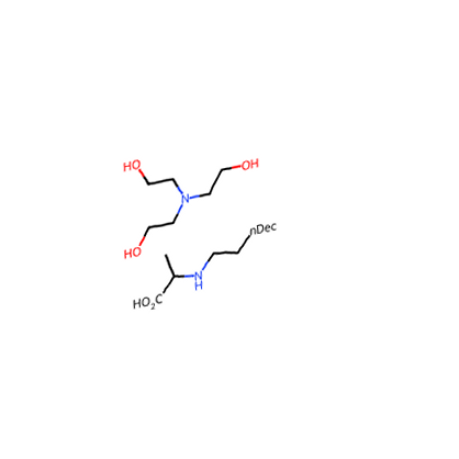 CCCCCCCCCCCCNC(C)C(=O)O.OCCN(CCO)CCO